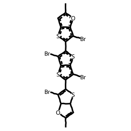 CC1=CC2SC(c3sc4c(Br)c(-c5sc6cc(C)oc6c5Br)sc4c3Br)=C(Br)C2O1